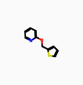 [c]1ccc(COc2ccccn2)s1